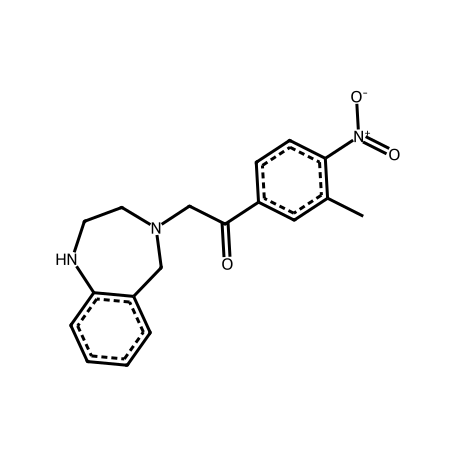 Cc1cc(C(=O)CN2CCNc3ccccc3C2)ccc1[N+](=O)[O-]